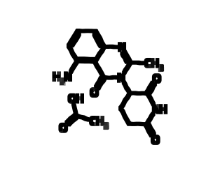 CC(=O)O.Cc1nc2cccc(N)c2c(=O)n1C1CCC(=O)NC1=O